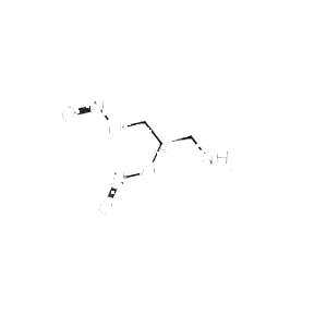 NC[C@H](CON=O)ON=O